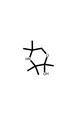 CC1(C)COC(C)(O)C(C)(C)N1